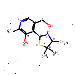 Cc1ncc(CO)c([C@H]2N[C@@H](C(=O)O)C(C)(C)S2)c1O